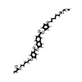 C=C=COOCCCCCOc1ccc(OC(=O)c2ccc3cc(OC(=O)c4ccc(OCCCCCOC(=O)C=C)cc4)ccc3c2)cc1